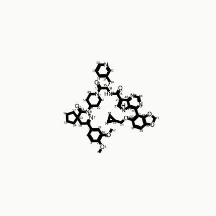 COc1ccc(C2=NN(C3CCN(C(=O)[C@H](Cc4cccnc4)NC(=O)c4c[nH]c5c(-c6c(OCC7CC7)ccc7c6OCO7)ncnc45)CC3)C(=O)C3(CCCC3)C2)cc1OC